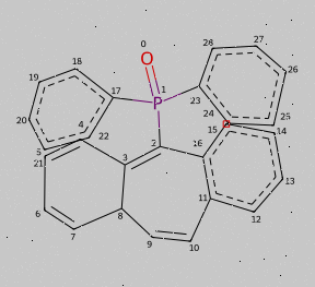 O=P(C1=C2C=CC=CC2C=Cc2ccccc21)(c1ccccc1)c1ccccc1